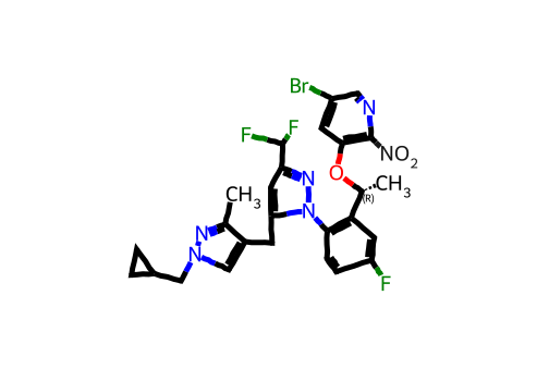 Cc1nn(CC2CC2)cc1Cc1cc(C(F)F)nn1-c1ccc(F)cc1[C@@H](C)Oc1cc(Br)cnc1[N+](=O)[O-]